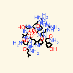 CC(C)C[C@H](N)C(=O)N[C@@H](CC(N)=O)C(=O)NC(Cc1c[nH]c2ccccc12)C(=O)N[C@H](C(=O)N[C@H](C(=O)N[C@@H](CCCNC(=N)N)C(=O)NC(CCC(N)=O)C(=O)N(C)[C@@H](CCCNC(=N)N)C(=O)NC(Cc1ccc(O)cc1)C(N)=O)[C@@H](C)O)C(C)C